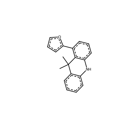 CC1(C)c2ccccc2Nc2cccc(-c3ccco3)c21